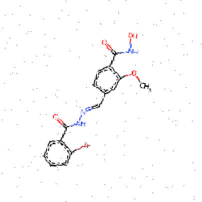 COc1cc(/C=N/NC(=O)c2ccccc2Br)ccc1C(=O)NO